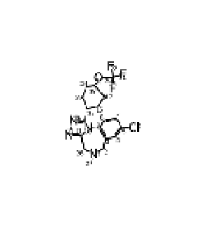 CN1Cc2cc(Cl)ccc2-n2c(nnc2[C@H]2CC[C@H](OC(F)(F)F)CC2)C1